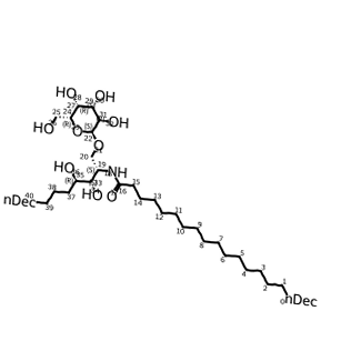 CCCCCCCCCCCCCCCCCCCCCCCCCC(=O)N[C@@H](CO[C@H]1O[C@H](CO)[C@H](O)[C@H](O)[C@H]1O)[C@H](O)[C@H](O)CCCCCCCCCCCCC